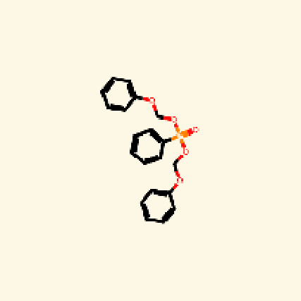 O=P(OCOc1ccccc1)(OCOc1ccccc1)c1ccccc1